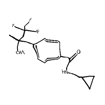 CC(O)(c1ccc(C(=O)NC2CC2)cc1)C(F)(F)F